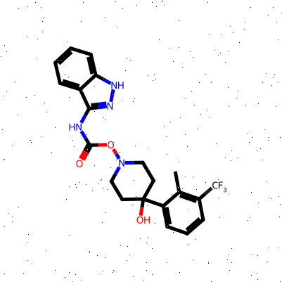 Cc1c(C(F)(F)F)cccc1C1(O)CCN(OC(=O)Nc2n[nH]c3ccccc23)CC1